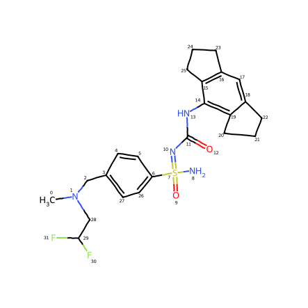 CN(Cc1ccc(S(N)(=O)=NC(=O)Nc2c3c(cc4c2CCC4)CCC3)cc1)CC(F)F